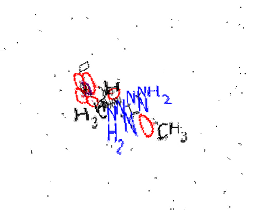 CCOc1nc(N)nc2c1ncn2[C@@H]1O[C@@H]2CO[P@](=O)(OC3CCC3)O[C@H]2[C@@]1(C)N